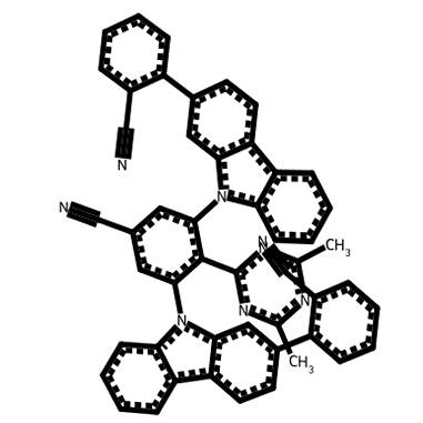 Cc1nc(C)nc(-c2c(-n3c4ccccc4c4ccc(-c5ccccc5C#N)cc43)cc(C#N)cc2-n2c3ccccc3c3ccc(-c4ccccc4C#N)cc32)n1